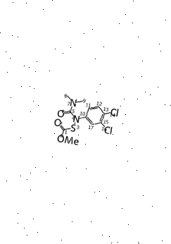 COC(=O)SN(C(=O)N(C)C)c1ccc(Cl)c(Cl)c1